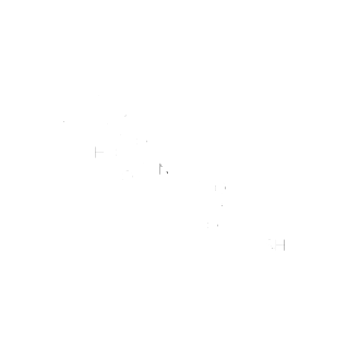 CC1(OC(=O)N2CCC(OC(=O)CCS)CC2)C2CC3CC(C2)CC1C3